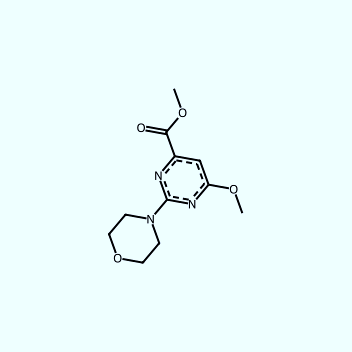 COC(=O)c1cc(OC)nc(N2CCOCC2)n1